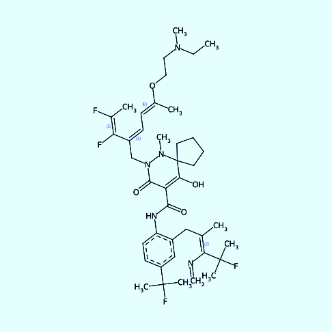 C=N/C(=C(/C)Cc1cc(C(C)(C)F)ccc1NC(=O)C1=C(O)C2(CCCC2)N(C)N(CC(=C/C=C(\C)OCCN(C)CC)/C(F)=C(\C)F)C1=O)C(C)(C)F